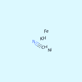 C#N.[Fe].[KH].[Ni]